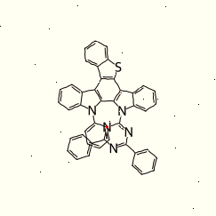 c1ccc(-c2nc(-c3ccccc3)nc(-n3c4ccccc4c4c5sc6ccccc6c5c5c6ccccc6n(-c6ccccc6)c5c43)n2)cc1